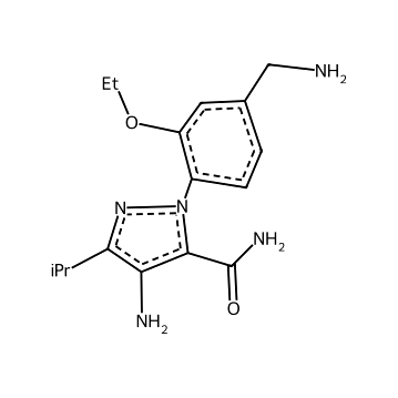 CCOc1cc(CN)ccc1-n1nc(C(C)C)c(N)c1C(N)=O